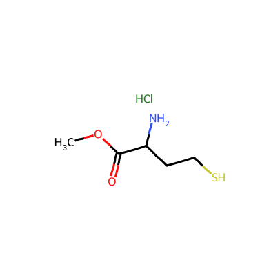 COC(=O)C(N)CCS.Cl